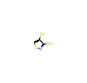 Sc1csnc1S